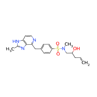 C=CCC(O)CN(C)S(=O)(=O)c1ccc(Cc2nccc3[nH]c(C)nc23)cc1